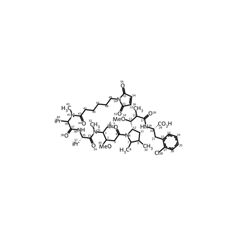 CCC(C)C(C(CC(=O)N1C(C)C(C)C[C@H]1C(OC)C(C)C(=O)N[C@@H](Cc1ccccc1Cl)C(=O)O)OC)N(C)C(=O)[C@@H](NC(=O)C(C(C)C)N(C)C(=O)CCCCCN1C(=O)C=CC1=O)C(C)C